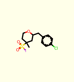 CC1(S(=O)(=O)I)CCOC(Cc2ccc(Cl)cc2)C1